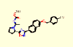 C/C(=N\C(=O)OC(C)(C)C)N1CCC[C@H]1c1nc(-c2ccc3cc(OCc4ccc(C#N)cc4)ccc3c2)no1